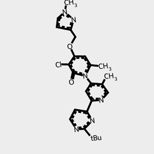 Cc1cnc(-c2ccnc(C(C)(C)C)n2)cc1-n1c(C)cc(OCc2ccn(C)n2)c(Cl)c1=O